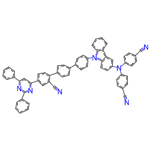 N#Cc1ccc(N(c2ccc(C#N)cc2)c2ccc3c(c2)c2ccccc2n3-c2ccc(-c3ccc(-c4ccc(-c5cc(-c6ccccc6)nc(-c6ccccc6)n5)cc4C#N)cc3)cc2)cc1